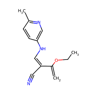 C=C(OCC)/C(C#N)=C\Nc1ccc(C)nc1